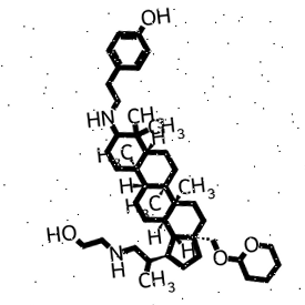 CC(CNCCO)[C@@H]1CC[C@]2(COC3CCCCO3)CC[C@]3(C)[C@H](CC[C@@H]4[C@@]5(C)CCC(NCCc6ccc(O)cc6)C(C)(C)[C@@H]5CC[C@]43C)[C@@H]12